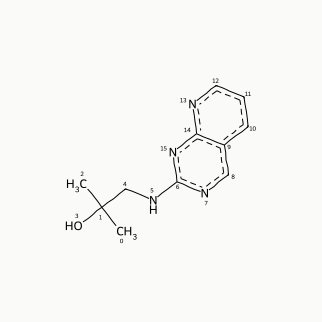 CC(C)(O)CNc1ncc2cccnc2n1